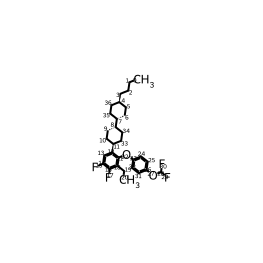 CCCC[C@H]1CC[C@H]([C@H]2CC[C@H](c3[c]c(F)c(F)c(CC)c3Oc3ccc(OC(F)F)cc3)CC2)CC1